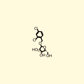 OC[C@H]1OC(OCc2ccc(Cl)cc2Cl)[C@@H](O)[C@@H]1O